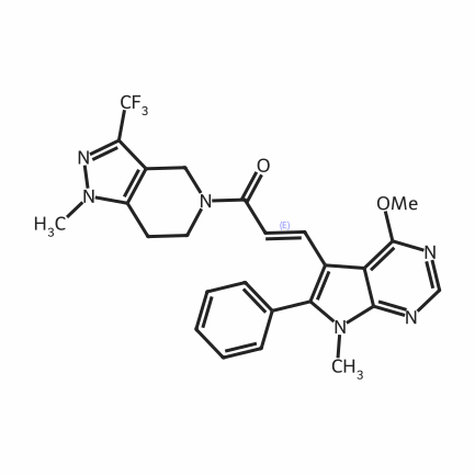 COc1ncnc2c1c(/C=C/C(=O)N1CCc3c(c(C(F)(F)F)nn3C)C1)c(-c1ccccc1)n2C